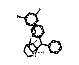 Fc1cc(F)cc(CO[C@@H]2C3CCN(CC3)[C@@H]2C(c2ccccc2)c2ccccc2)c1